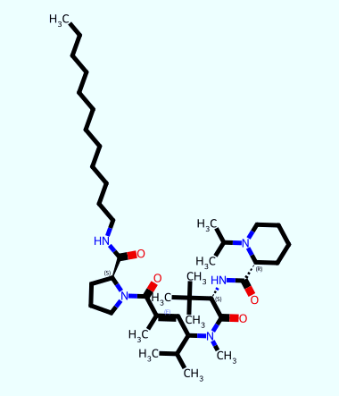 CCCCCCCCCCCCNC(=O)[C@@H]1CCCN1C(=O)/C(C)=C/C(C(C)C)N(C)C(=O)[C@@H](NC(=O)[C@H]1CCCCN1C(C)C)C(C)(C)C